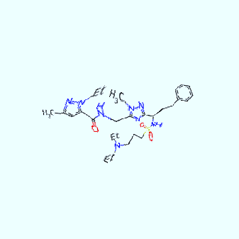 CCN(CC)CCCS(=O)(=O)N[C@H](CCc1ccccc1)c1nc(CNC(=O)c2cc(C)nn2CC)n(C)n1